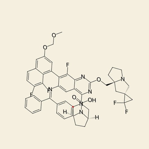 COCOc1cc(-c2c(N=C(c3ccccc3)c3ccccc3)cc3c(N4C[C@H]5CC[C@@H](C4)N5C(=O)O)nc(OC[C@@]45CCCN4C[C@@]4(CC4(F)F)C5)nc3c2F)c2c(F)c(F)ccc2c1